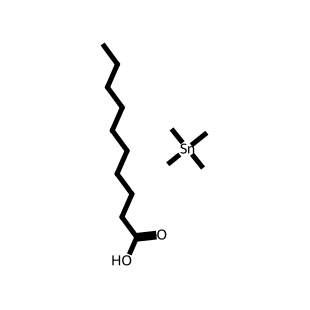 CCCCCCCCCC(=O)O.[CH3][Sn]([CH3])([CH3])[CH3]